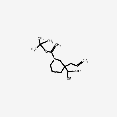 C=CCC1(C(O)O)CCCN(C(=C)SC(C)(C)C)C1